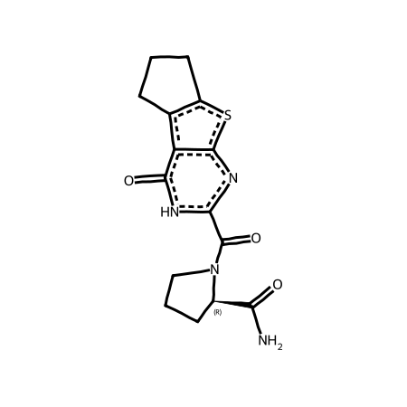 NC(=O)[C@H]1CCCN1C(=O)c1nc2sc3c(c2c(=O)[nH]1)CCC3